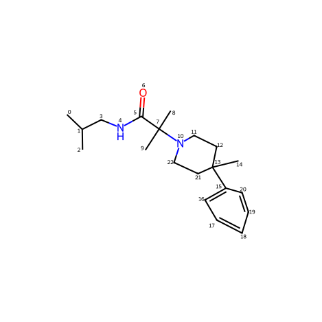 CC(C)CNC(=O)C(C)(C)N1CCC(C)(c2ccccc2)CC1